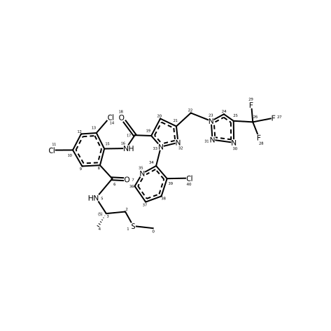 CSC[C@H](C)NC(=O)c1cc(Cl)cc(Cl)c1NC(=O)c1cc(Cn2cc(C(F)(F)F)nn2)nn1-c1ncccc1Cl